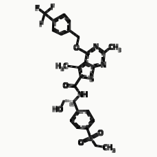 CCS(=O)(=O)c1ccc([C@H](CO)NC(=O)c2sc3nc(C)nc(OCc4ccc(C(F)(F)F)cc4)c3c2C)cc1